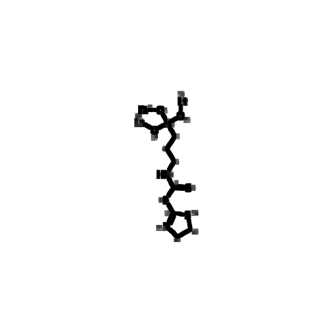 CCO[Si](CCCNC(=S)SC1=NCCS1)(OCC)OCC